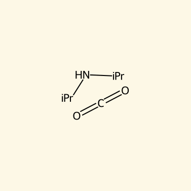 CC(C)NC(C)C.O=C=O